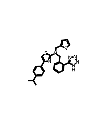 CC(C)c1ccc(-c2csc(N(Cc3cccs3)Cc3ccccc3-c3nnn[nH]3)n2)cc1